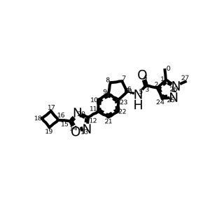 Cc1c(C(=O)N[C@@H]2CCc3cc(-c4noc(C5CCC5)n4)ccc32)cnn1C